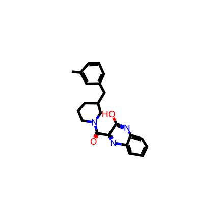 Cc1cccc(CC2CCCN(C(=O)c3nc4ccccc4nc3O)C2)c1